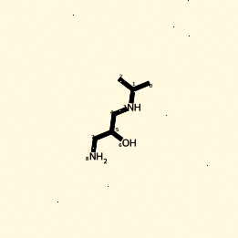 CC(C)NCC(O)CN